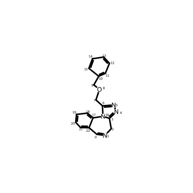 C1=NCc2nnc(COCc3ccccc3)n2-c2ccccc21